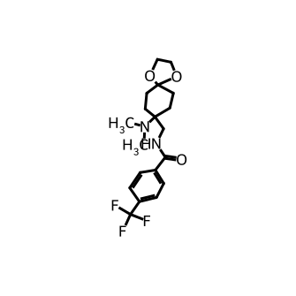 CN(C)C1(CNC(=O)c2ccc(C(F)(F)F)cc2)CCC2(CC1)OCCO2